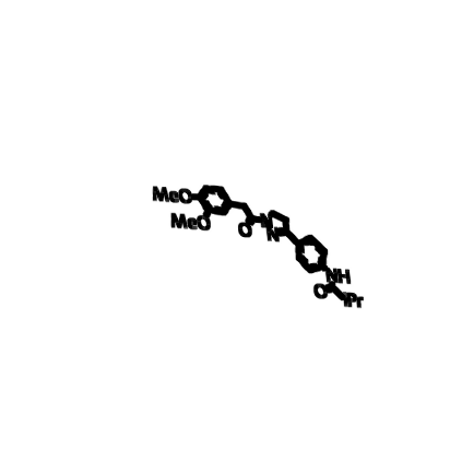 COc1ccc(CC(=O)N2CCC(c3ccc(NC(=O)C(C)C)cc3)=N2)cc1OC